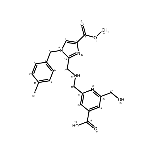 COC(=O)c1cn(Cc2ccc(F)cc2)c(CNCc2cc(C(=O)O)cc(CO)n2)n1